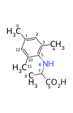 Cc1cc(C)c(NC(C)C(=O)O)c(C)c1